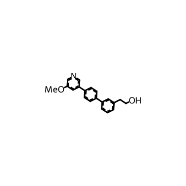 COc1cncc(-c2ccc(-c3cccc(CCO)c3)cc2)c1